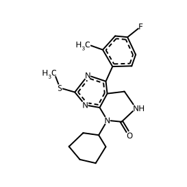 CSc1nc(-c2ccc(F)cc2C)c2c(n1)N(C1CCCCC1)C(=O)NC2